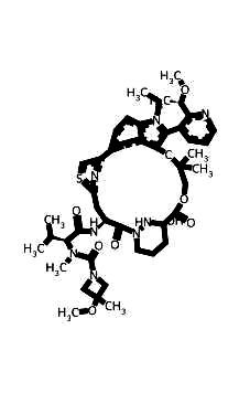 CCn1c(-c2cccnc2[C@H](C)OC)c2c3cc(ccc31)-c1csc(n1)C[C@H](NC(=O)[C@H](C(C)C)N(C)C(=O)N1CC(C)(OC)C1)C(=O)N1CCC[C@@](O)(N1)C(=O)OCC(C)(C)C2